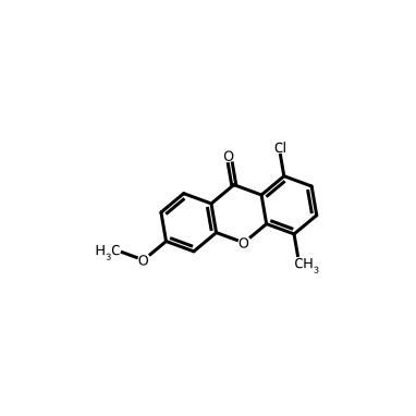 COc1ccc2c(=O)c3c(Cl)ccc(C)c3oc2c1